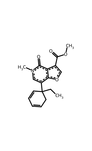 CCC1(c2cn(C)c(=O)c3c(C(=O)OC)coc23)C=CC=CC1